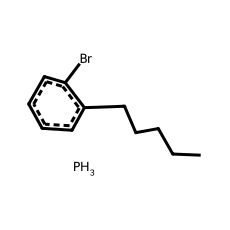 CCCCCc1ccccc1Br.P